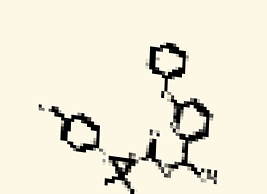 CCC(C)c1ccc([C@@H]2[C@@H](C(=O)OC(C#N)c3cccc(Oc4ccccc4)n3)C2(C)C)cc1